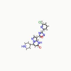 O=c1cc(C2CCNCC2)n2ncc(-c3nc(-c4cccc(Cl)n4)no3)c2[nH]1